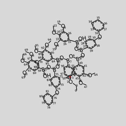 CCOc1ccc(B(OB(OB(OB(O)c2cc(OC)c(OC)c(OC)c2)c2ccc(Oc3ccccc3)cc2)c2cc(OC)c(OC)c(OC)c2)OB(OB(OB(O)c2cc(OC)c(OC)c(OC)c2)c2ccc(Oc3ccccc3)cc2)c2cc(OC)c(OC)c(OC)c2)cc1